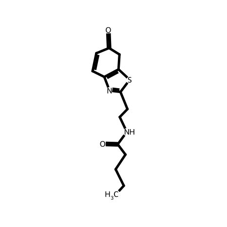 CCCCC(=O)NCCc1nc2c(s1)CC(=O)C=C2